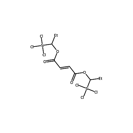 CCC(OC(=O)C=CC(=O)OC(CC)[Si](Cl)(Cl)Cl)[Si](Cl)(Cl)Cl